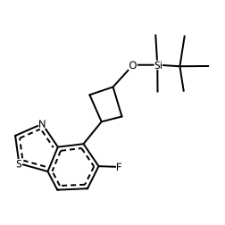 CC(C)(C)[Si](C)(C)OC1CC(c2c(F)ccc3scnc23)C1